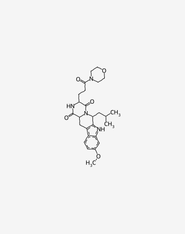 COc1ccc2c3c([nH]c2c1)C(CC(C)C)N1C(=O)C(CCC(=O)N2CCOCC2)NC(=O)C1C3